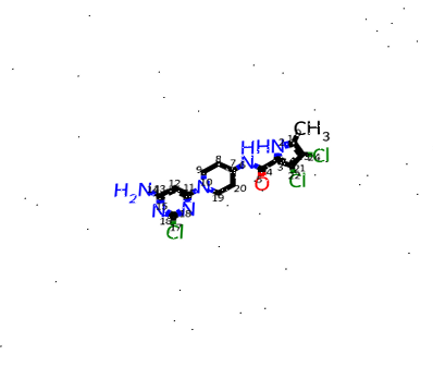 Cc1[nH]c(C(=O)NC2CCN(c3cc(N)nc(Cl)n3)CC2)c(Cl)c1Cl